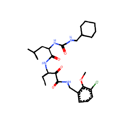 CCC(NC(=O)C(CC(C)C)NC(=O)NCC1CCCCC1)C(=O)C(=O)NCc1cccc(Cl)c1OC